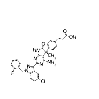 C[C@]1(c2ccc(CCC(=O)O)cc2)C(=O)Nc2nc(-c3nn(Cc4ccccc4F)c4ccc(Cl)cc34)nc(N)c21